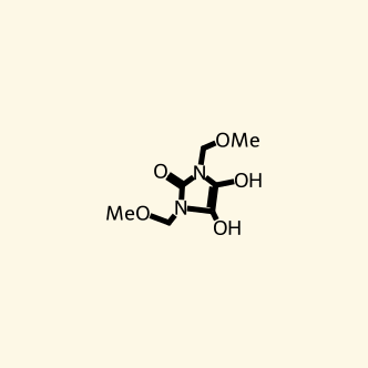 COCn1c(O)c(O)n(COC)c1=O